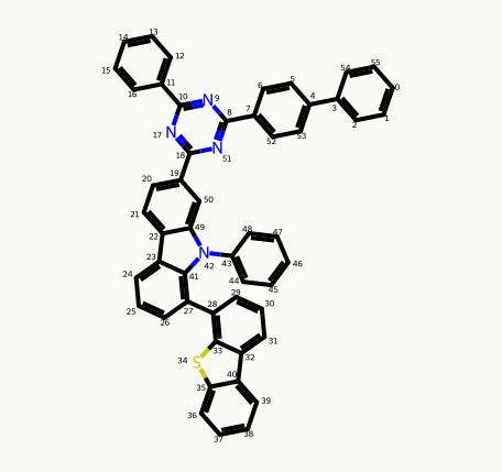 c1ccc(-c2ccc(-c3nc(-c4ccccc4)nc(-c4ccc5c6cccc(-c7cccc8c7sc7ccccc78)c6n(-c6ccccc6)c5c4)n3)cc2)cc1